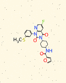 CSc1cccc(-n2c(=O)n(C3CCC(NC(=O)c4ccco4)CC3)c(=O)c3cc(F)cnc32)c1